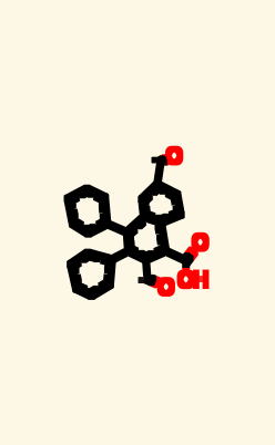 O=[C]c1ccc2c(C(=O)O)c([C]=O)c(-c3ccccc3)c(-c3ccccc3)c2c1